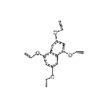 C=COc1cc(OC=C)c2cc(OC=C)cc(OC=C)c2c1